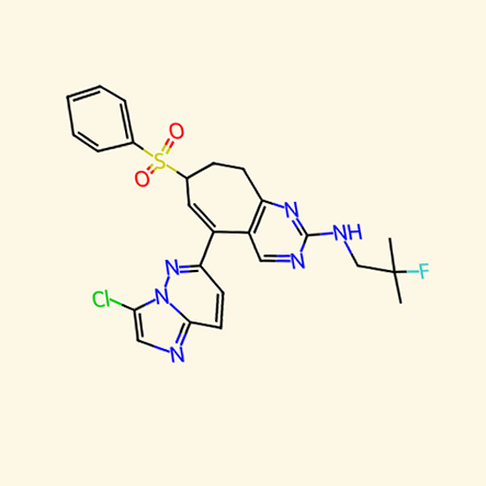 CC(C)(F)CNc1ncc2c(n1)CCC(S(=O)(=O)c1ccccc1)C=C2c1ccc2ncc(Cl)n2n1